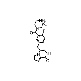 CC1(C)CN(C(=O)c2cc(Cc3c[nH]c(=O)c4cccn34)ccc2F)CCN1